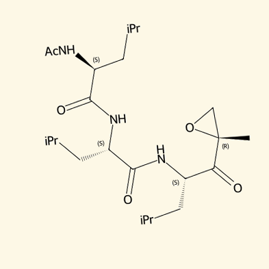 CC(=O)N[C@@H](CC(C)C)C(=O)N[C@@H](CC(C)C)C(=O)N[C@@H](CC(C)C)C(=O)[C@@]1(C)CO1